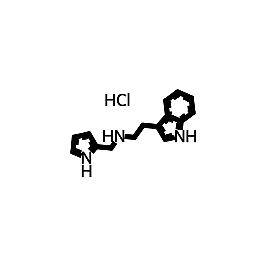 Cl.c1c[nH]c(CNCCc2c[nH]c3ccccc23)c1